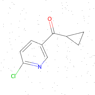 O=C(c1ccc(Cl)nc1)C1CC1